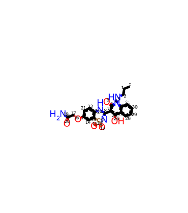 CCCNn1c(=O)c(C2=NS(=O)(=O)c3cc(OCC(N)=O)ccc3N2)c(O)c2ccccc21